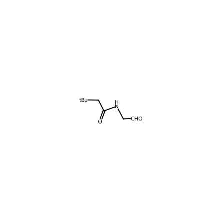 CC(C)(C)CC(=O)NCC=O